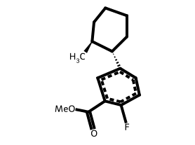 COC(=O)c1cc([C@H]2CCCC[C@@H]2C)ccc1F